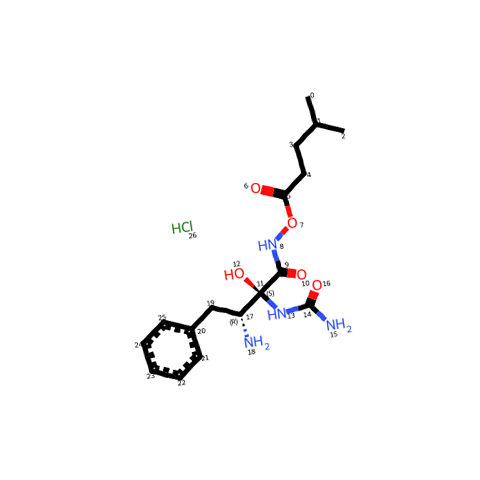 CC(C)CCC(=O)ONC(=O)[C@](O)(NC(N)=O)[C@H](N)Cc1ccccc1.Cl